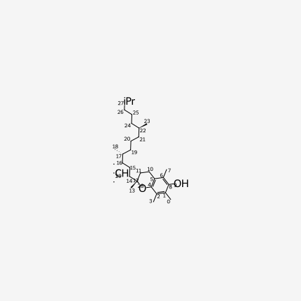 Cc1c(C)c2c(c(C)c1O)CC[C@@](C)(CCC[C@H](C)CCC[C@H](C)CCCC(C)C)O2.[CH]